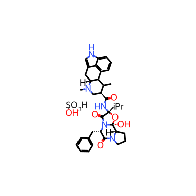 CC1C2c3cccc4[nH]cc(c34)C[C@H]2N(C)C[C@@H]1C(=O)N[C@]1(C(C)C)O[C@@]2(O)[C@@H]3CCCN3C(=O)[C@H](Cc3ccccc3)N2C1=O.O=S(=O)(O)O